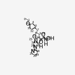 CCOc1ccc(CCC[C@H](C(=O)N2CCN(c3ccccn3)C[C@@H]2C)[C@H](O)C(=O)NO)cc1